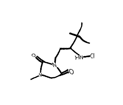 CN1CC(=O)N(CC(NCl)C(C)(C)C)C1=O